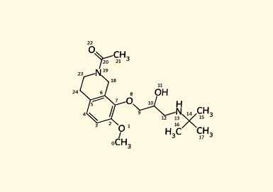 COc1ccc2c(c1OCC(O)CNC(C)(C)C)CN(C(C)=O)CC2